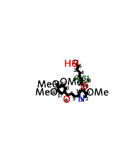 COc1cnc(/C=C/C(=O)c2cc(OC)c(OC)c(OC)c2)cc1OCCCCCCO.Cl